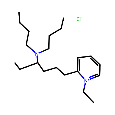 CCCCN(CCCC)C(CC)CCCc1cccc[n+]1CC.[Cl-]